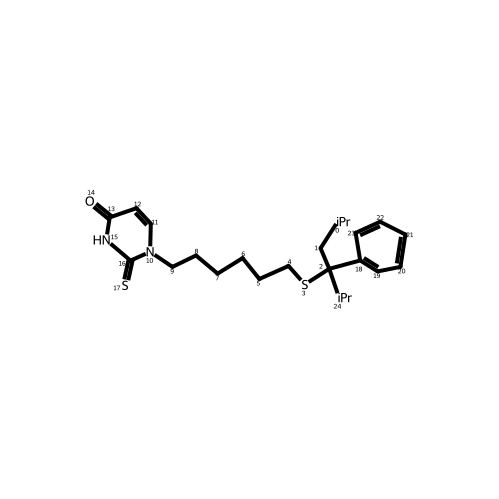 CC(C)CC(SCCCCCCn1ccc(=O)[nH]c1=S)(c1ccccc1)C(C)C